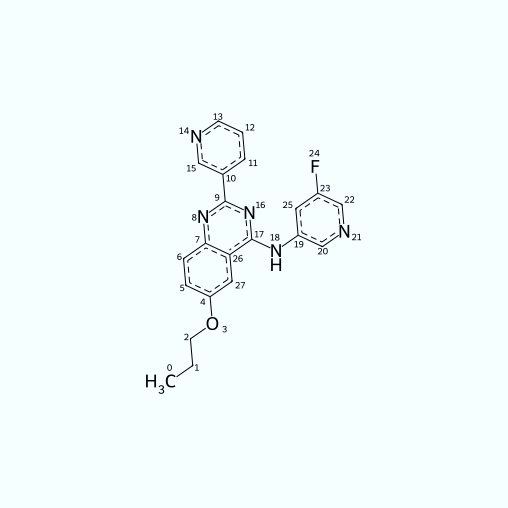 CCCOc1ccc2nc(-c3cccnc3)nc(Nc3cncc(F)c3)c2c1